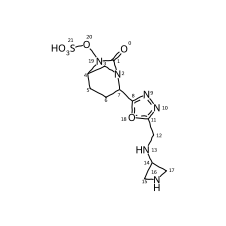 O=C1N2CC(CCC2c2nnc(CNC3CNC3)o2)N1OS(=O)(=O)O